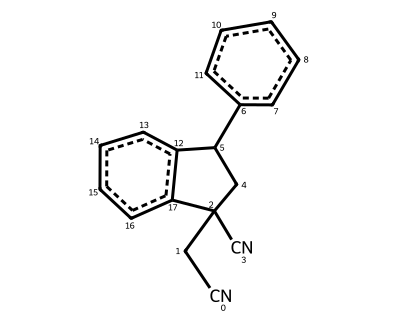 N#CCC1(C#N)CC(c2ccccc2)c2ccccc21